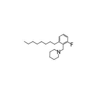 CCCCCCCCc1cccc(F)c1CN1CCCCC1